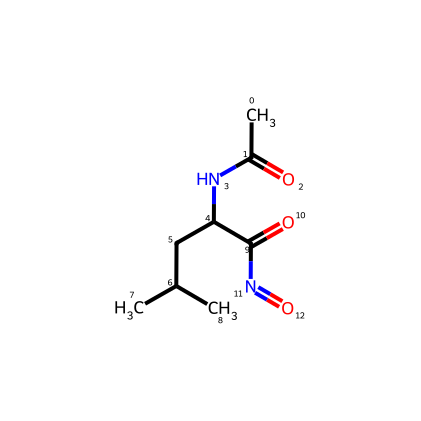 CC(=O)NC(CC(C)C)C(=O)N=O